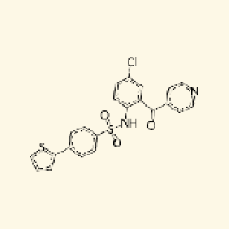 O=C(c1ccncc1)c1cc(Cl)ccc1NS(=O)(=O)c1ccc(-c2cccs2)cc1